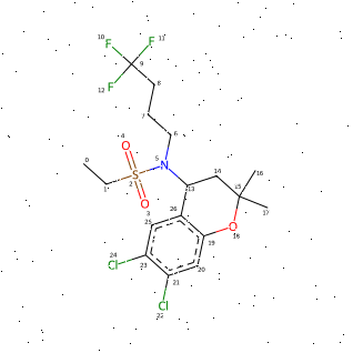 CCS(=O)(=O)N(CCCC(F)(F)F)C1CC(C)(C)Oc2cc(Cl)c(Cl)cc21